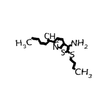 C=C(/C=C\C=C/C)c1ccc2c(N)c(SCCCC)sc2n1